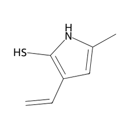 C=Cc1cc(C)[nH]c1S